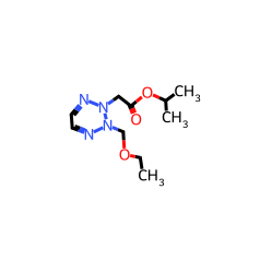 CCOCN1N=CC=NN1CC(=O)OC(C)C